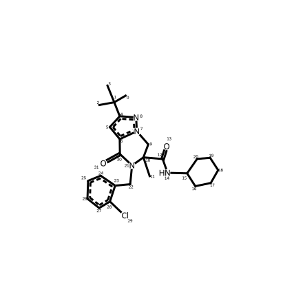 CC(C)(C)c1cc2n(n1)CC(C)(C(=O)NC1CCCCC1)N(Cc1ccccc1Cl)C2=O